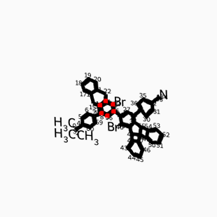 CC(C)(C)c1ccc(-c2ccc(Br)c3c2C2c4ccccc4C3c3cc(-c4cc(-c5ccc(C#N)cc5)c5c(c4Br)C4c6ccccc6C46c4ccccc4C56)ccc32)cc1